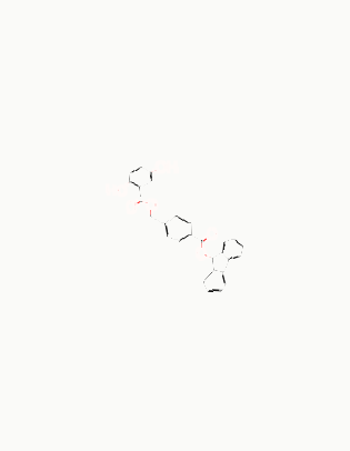 O=C(OC1c2ccccc2-c2ccccc21)c1ccc(COC(=O)c2cc(O)ccc2O)cc1